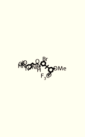 COc1cc(OC(F)(F)F)cc(C(C)(C)c2cc(Br)cc(NC(=O)c3cc4cc(NS(C)(=O)=O)ncc4[nH]3)c2)c1